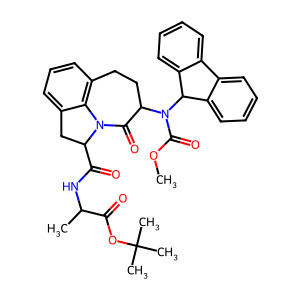 COC(=O)N(C1CCc2cccc3c2N(C1=O)C(C(=O)NC(C)C(=O)OC(C)(C)C)C3)C1c2ccccc2-c2ccccc21